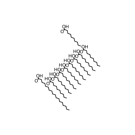 CCCCCCCCCC(=O)O.CCCCCCCCCC(=O)O.CCCCCCCCCC(=O)O.CCCCCCCCCC(=O)O.CCCCCCCCCC(=O)O.CCCCCCCCCC(=O)O.CCCCCCCCCC(=O)O.CCCCCCCCCC(=O)O.CCCCCCCCCC(=O)O.CCCCCCCCCCCCCCCCCC(=O)O